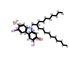 CCCCCCCCCCC(CCCCCCCC)Cn1c2cc(Br)c(I)cc2c2cc(I)c(Br)cc21